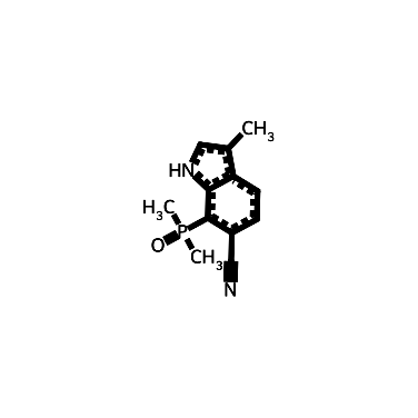 Cc1c[nH]c2c(P(C)(C)=O)c(C#N)ccc12